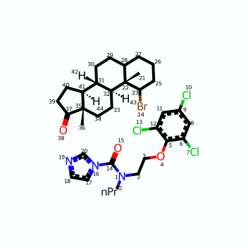 CCCN(CCOc1c(Cl)cc(Cl)cc1Cl)C(=O)n1ccnc1.C[C@]12C(Br)CCCC1CC[C@@H]1[C@@H]2CC[C@]2(C)C(=O)CC[C@@H]12